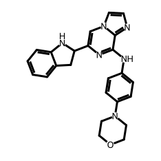 c1ccc2c(c1)CC(c1cn3ccnc3c(Nc3ccc(N4CCOCC4)cc3)n1)N2